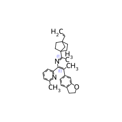 C=CC12CCC(/C(C)=N/C(=C(\C)c3ccc4c(c3)OCC4)c3cccc(C)n3)(CC1)C2